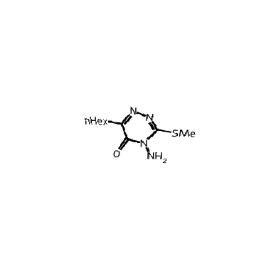 CCCCCCc1nnc(SC)n(N)c1=O